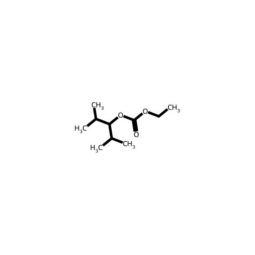 CCOC(=O)OC(C(C)C)C(C)C